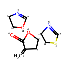 C=C1C[CH]OC1=O.[C]1=NCCO1.[C]1=NCCS1